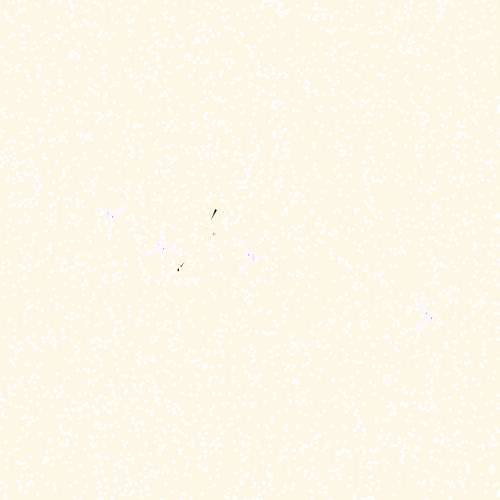 CN1C(=O)CN2c3c(cccc31)[C@@H]1CN(CCCC(=O)c3ccncc3)CC[C@@H]12